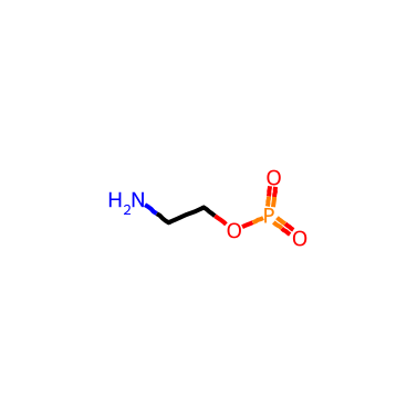 NCCOP(=O)=O